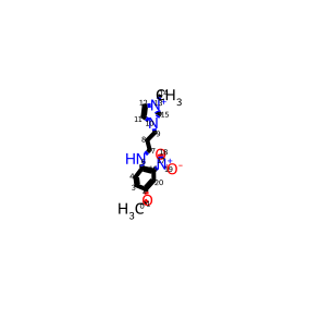 COc1ccc(NCCCn2cc[n+](C)c2)c([N+](=O)[O-])c1